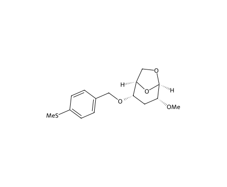 CO[C@@H]1C[C@H](OCc2ccc(SC)cc2)[C@H]2CO[C@@H]1O2